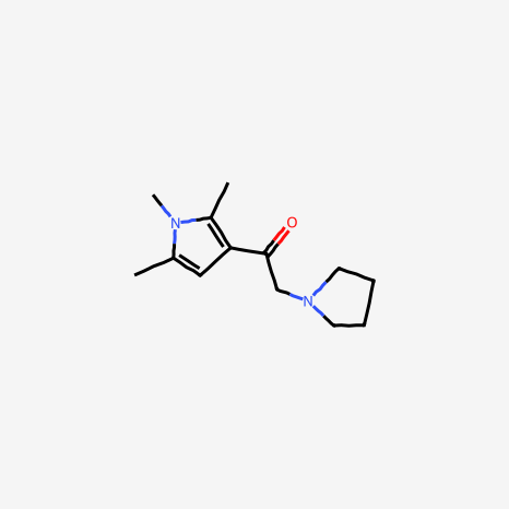 Cc1cc(C(=O)CN2CCCC2)c(C)n1C